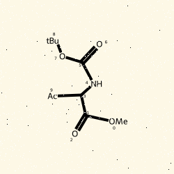 COC(=O)C(NC(=O)OC(C)(C)C)C(C)=O